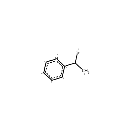 CC([S])c1ccccn1